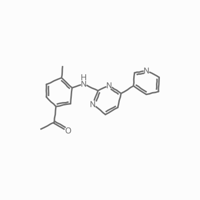 CC(=O)c1ccc(C)c(Nc2nccc(-c3cccnc3)n2)c1